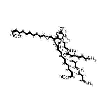 CCCCCCCC/C=C\CCCCCCCCOCC(OCCCCCCCC/C=C\CCCCCCCC)C(OC(=O)C(F)(F)F)[N+](C)(C)CCNC(=O)[C@@H](CCCNCCCN)NCCCN